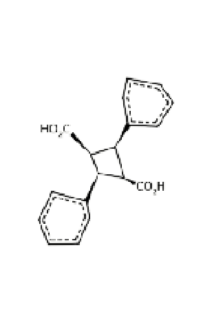 O=C(O)[C@H]1[C@@H](c2ccccc2)[C@@H](C(=O)O)[C@H]1c1ccccc1